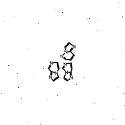 c1cc2nccn2cn1.c1cn2ccnc2cn1.c1cnn2ccnc2c1